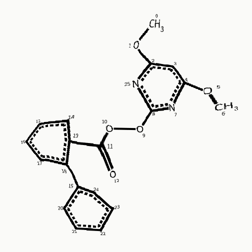 COc1cc(OC)nc(OOC(=O)c2ccccc2-c2ccccc2)n1